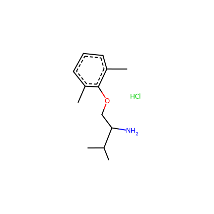 Cc1cccc(C)c1OCC(N)C(C)C.Cl